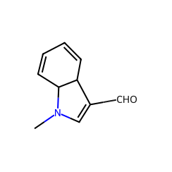 CN1C=C(C=O)C2C=CC=CC21